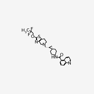 CC(F)(F)COc1nc2c(s1)CCN(C[C@@H]1C[C@]13CC[C@H](NC(=O)c1cccc4ncccc14)CC3)C2